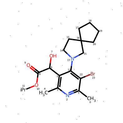 Cc1nc(C)c(C(O)C(=O)OC(C)C)c(N2CCC3(CCCC3)C2)c1Br